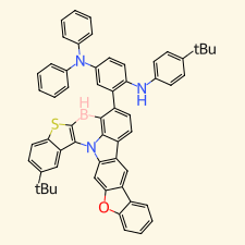 CC(C)(C)c1ccc(Nc2ccc(N(c3ccccc3)c3ccccc3)cc2-c2ccc3c4cc5c(cc4n4c3c2Bc2sc3ccc(C(C)(C)C)cc3c2-4)oc2ccccc25)cc1